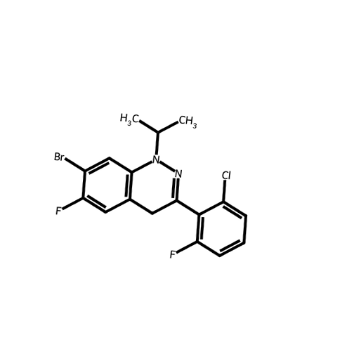 CC(C)N1N=C(c2c(F)cccc2Cl)Cc2cc(F)c(Br)cc21